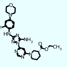 CCOC(=O)[C@@H]1CCCN(c2cc(-n3nc(Nc4ccc(N5CCOCC5)cc4F)nc3N)ncn2)C1